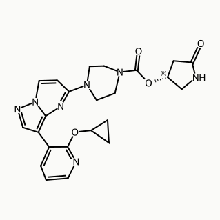 O=C1C[C@@H](OC(=O)N2CCN(c3ccn4ncc(-c5cccnc5OC5CC5)c4n3)CC2)CN1